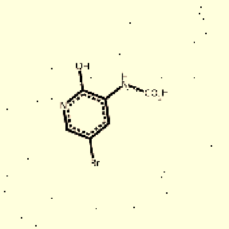 O=C(O)Nc1cc(Br)cnc1O